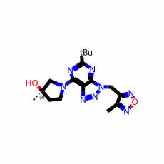 Cc1nonc1Cn1nnc2c(N3CC[C@@](C)(O)C3)nc(C(C)(C)C)nc21